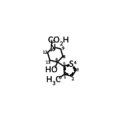 Cc1ccsc1C1(O)CCN(C(=O)O)CC1